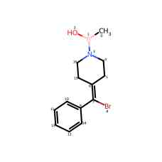 CB(O)N1CCC(=C(Br)c2ccccc2)CC1